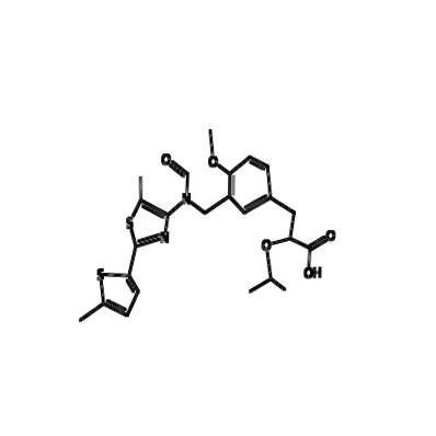 COc1ccc(CC(OC(C)C)C(=O)O)cc1CN(C=O)c1nc(-c2ccc(C)s2)sc1C